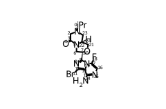 CC(C)N1CC(=O)N2C[C@H](c3nc(Br)c4c(N)ncc(F)n34)OC[C@H]2C1